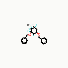 O=C(O)C1(F)C=C(OCc2ccccc2)C(F)C(F)(OCc2ccccc2)C1(F)F